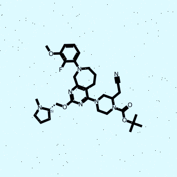 COc1cccc(N2CCCc3c(nc(OC[C@@H]4CCCN4C)nc3N3CCN(C(=O)OC(C)(C)C)C(CC#N)C3)C2)c1F